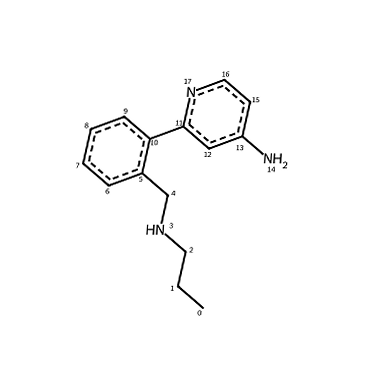 CCCNCc1ccccc1-c1cc(N)ccn1